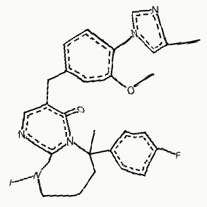 COc1cc(Cc2cnc3n(c2=O)C(C)(c2ccc(F)cc2)CCCN3I)ccc1-n1cnc(C)c1